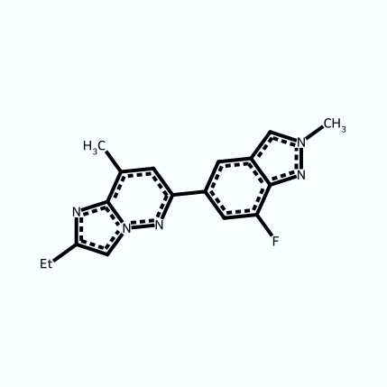 CCc1cn2nc(-c3cc(F)c4nn(C)cc4c3)cc(C)c2n1